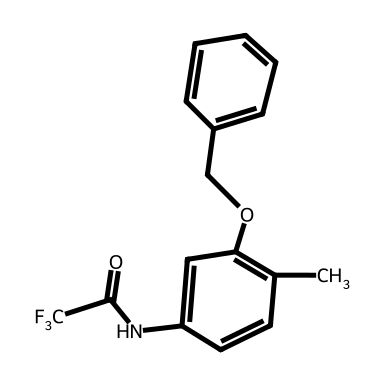 Cc1ccc(NC(=O)C(F)(F)F)cc1OCc1ccccc1